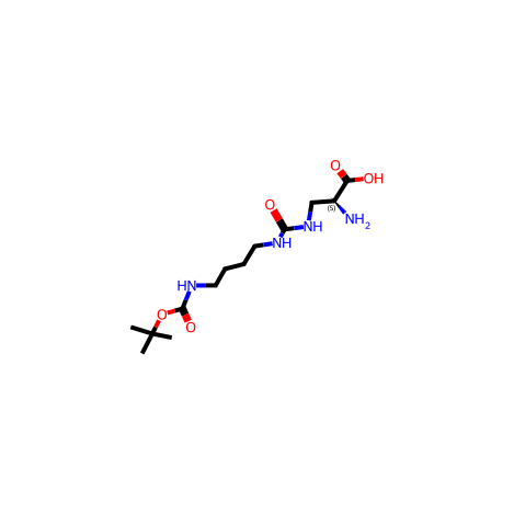 CC(C)(C)OC(=O)NCCCCNC(=O)NC[C@H](N)C(=O)O